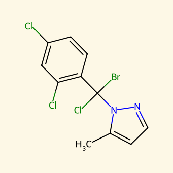 Cc1ccnn1C(Cl)(Br)c1ccc(Cl)cc1Cl